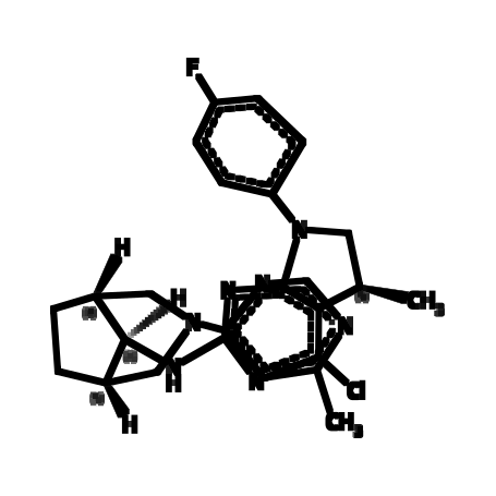 Cc1cc(N2C[C@H]3CC[C@@H](C2)[C@@H]3Nc2nc(Cl)c3c(n2)N(c2ccc(F)cc2)C[C@H]3C)ncn1